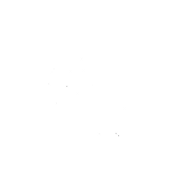 CN(C)Cc1cc(B2OC(C)(C)C(C)(C)O2)ccc1F